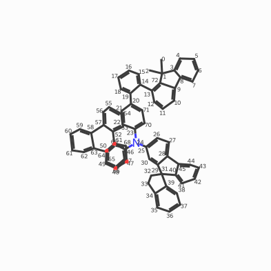 CC1(C)c2ccccc2-c2cccc(-c3ccccc3-c3ccc(N(c4ccc5c(c4)C4(CCc6ccccc64)c4ccccc4-5)c4ccccc4-c4ccccc4-c4ccccc4-c4ccccc4)cc3)c21